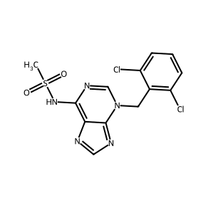 CS(=O)(=O)Nc1ncn(Cc2c(Cl)cccc2Cl)c2ncnc1-2